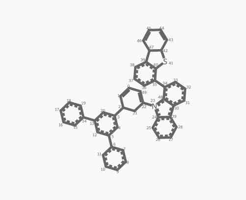 C1=CC(c2cc(-c3ccccc3)cc(-c3ccccc3)c2)CC(n2c3ccccc3c3cccc(-c4cccc5c4SC4C=CC=CC54)c32)=C1